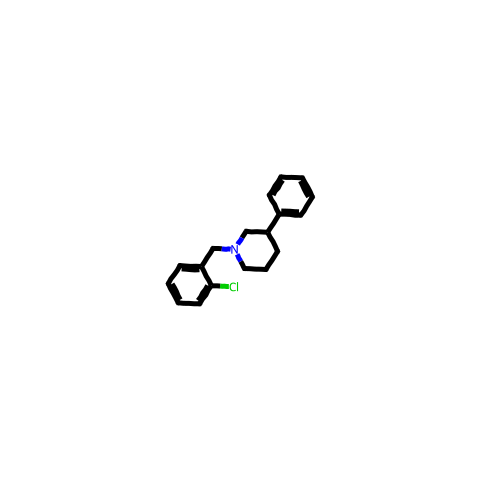 Clc1ccccc1CN1CCCC(c2ccccc2)C1